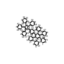 c1ccc(-c2c(-c3ccccc3)c(-c3ccccc3)c(-c3ccc(-n4c(-c5ccccc5)c(-c5ccccc5)c(-c5ccccc5)c4-c4ccccc4)cc3)c(-c3ccccc3)c2-c2ccccc2)cc1